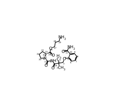 CC(C)(COc1ccccc1C(N)=O)C(=O)NC(=O)N1CCC[C@H]1C(=O)OCCCN